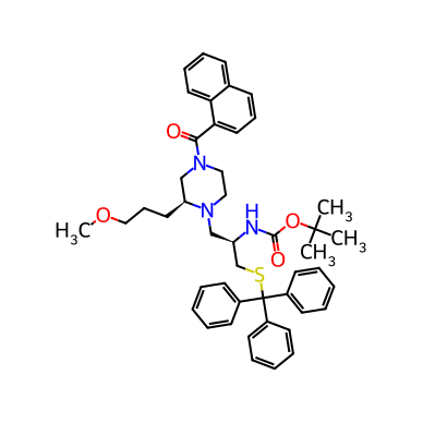 COCCC[C@H]1CN(C(=O)c2cccc3ccccc23)CCN1C[C@H](CSC(c1ccccc1)(c1ccccc1)c1ccccc1)NC(=O)OC(C)(C)C